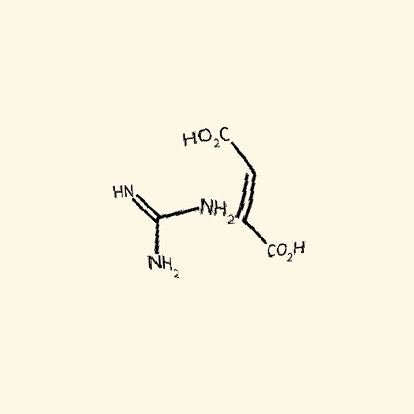 N=C(N)N.O=C(O)C=CC(=O)O